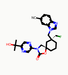 CC(C)(O)c1cnc(N2C[C@@]3(CCC[C@](CF)(Cn4cnc5ccc(C#N)cc54)C3)OC2=O)cn1